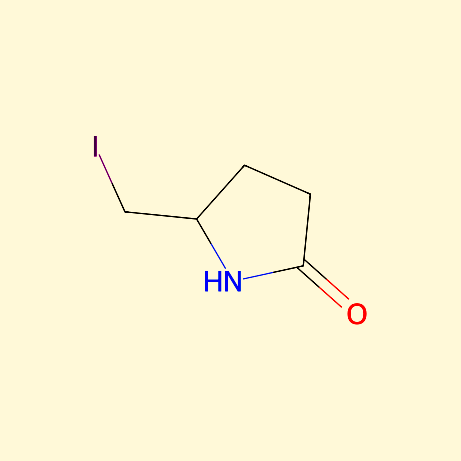 O=C1CCC(CI)N1